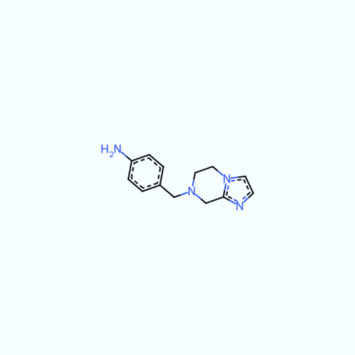 Nc1ccc(CN2CCn3ccnc3C2)cc1